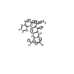 CC(=O)Oc1cc2oc(C(C(=O)O)c3ccccc3)c(C(N)=O)c(=O)c2cc1OC(C)=O